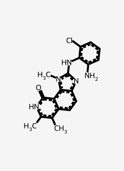 Cc1[nH]c(=O)c2c(ccc3nc(Nc4c(N)cccc4Cl)n(C)c32)c1C